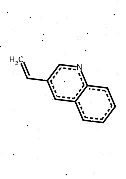 C=Cc1[c]c2ccccc2nc1